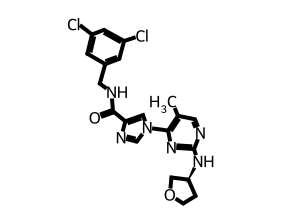 Cc1cnc(N[C@H]2CCOC2)nc1-n1cnc(C(=O)NCc2cc(Cl)cc(Cl)c2)c1